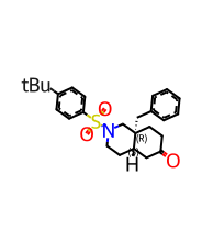 CC(C)(C)c1ccc(S(=O)(=O)N2CC[C@H]3CC(=O)CC[C@]3(Cc3ccccc3)C2)cc1